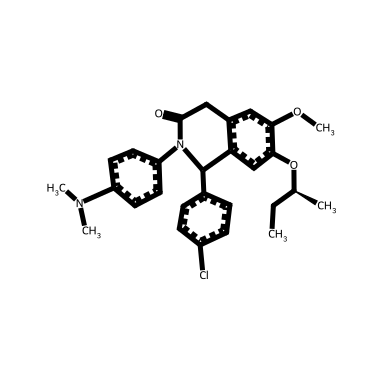 CC[C@H](C)Oc1cc2c(cc1OC)CC(=O)N(c1ccc(N(C)C)cc1)C2c1ccc(Cl)cc1